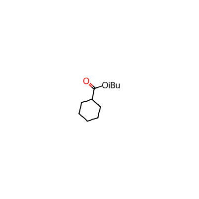 CC(C)[CH]OC(=O)C1CCCCC1